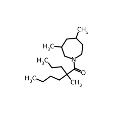 CCCCC(C)(CCC)C(=O)N1CCC(C)CC(C)C1